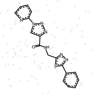 O=C(NCc1nnc(-c2ccccc2)s1)c1cn(-c2ccccn2)nn1